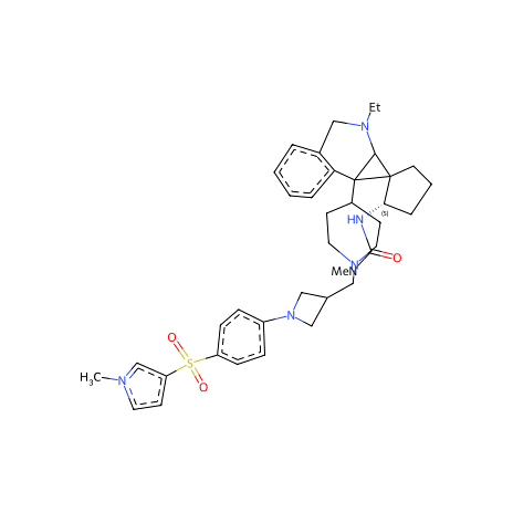 CCN1Cc2ccccc2C2(C3CCN(CC4CN(c5ccc(S(=O)(=O)c6ccn(C)c6)cc5)C4)CC3)C1C21CCC[C@@H]1NC(=O)NC